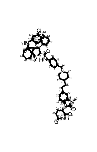 CN1[C@@H](C(=O)Nc2ccc(CN3CCC(CCc4ccc5c(c4)n(C)c(=O)n5C4CCC(=O)NC4=O)CC3)cc2)[C@H](c2cccc(Cl)c2F)[C@]2(C(=O)Nc3cc(Cl)ccc32)C12CCCCC2